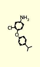 CC(C)c1ccc(Oc2ccc(N)cc2Cl)cc1